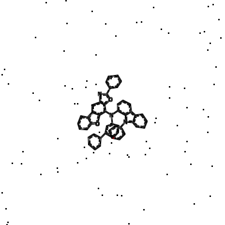 c1ccc(-c2cccc(N(c3c4oc(-c5ccccc5)nc4cc4c3oc3ccccc34)c3cccc4c5ccccc5n(-c5ccccc5)c34)c2)cc1